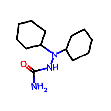 NC(=O)NN(C1CCCCC1)C1CCCCC1